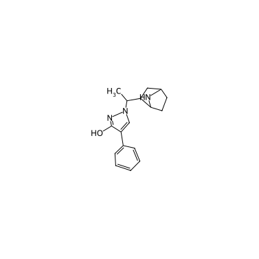 CC(C1CC2CCC1N2)n1cc(-c2ccccc2)c(O)n1